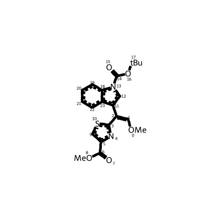 CO/C=C(\c1nc(C(=O)OC)cs1)c1cn(C(=O)OC(C)(C)C)c2ccccc12